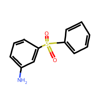 Nc1cc[c]c(S(=O)(=O)c2ccccc2)c1